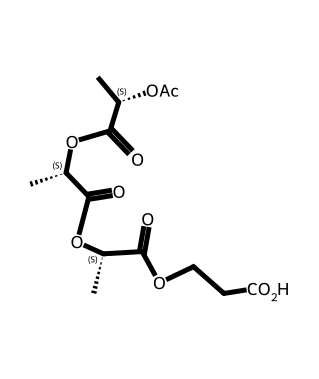 CC(=O)O[C@@H](C)C(=O)O[C@@H](C)C(=O)O[C@@H](C)C(=O)OCCC(=O)O